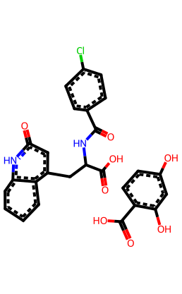 O=C(NC(Cc1cc(=O)[nH]c2ccccc12)C(=O)O)c1ccc(Cl)cc1.O=C(O)c1ccc(O)cc1O